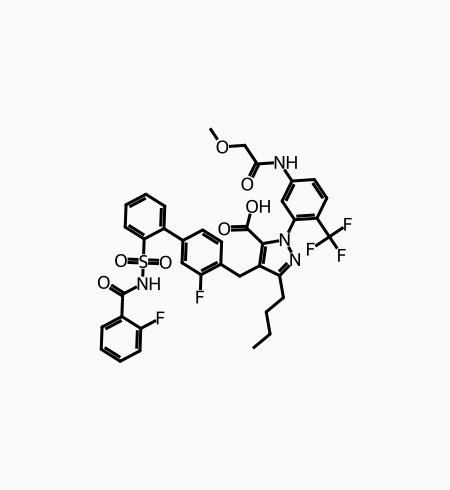 CCCCc1nn(-c2cc(NC(=O)COC)ccc2C(F)(F)F)c(C(=O)O)c1Cc1ccc(-c2ccccc2S(=O)(=O)NC(=O)c2ccccc2F)cc1F